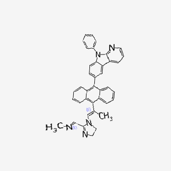 C/N=C/C1=NCCN1/C=C(\C)c1c2ccccc2c(-c2ccc3c(c2)c2cccnc2n3-c2ccccc2)c2ccccc12